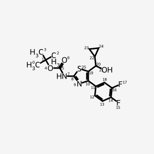 CC(C)(C)OC(=O)Nc1nc(-c2ccc(F)c(F)c2)c(C(O)C2CC2)s1